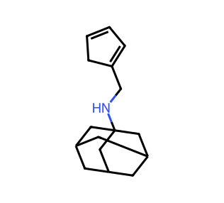 C1=CCC(CNC23CC4CC(CC(C4)C2)C3)=C1